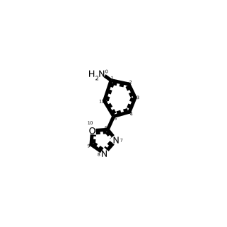 Nc1cccc(-c2nnco2)c1